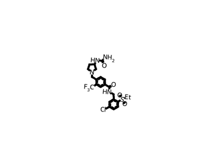 CCS(=O)(=O)c1ccc(Cl)cc1CNC(=O)c1ccc(CN2CCC(NC(N)=O)C2)c(C(F)(F)F)c1